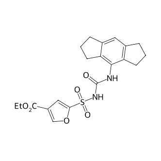 CCOC(=O)c1coc(S(=O)(=O)NC(=O)Nc2c3c(cc4c2CCC4)CCC3)c1